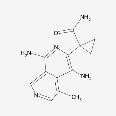 Cc1cncc2c(N)nc(C3(C(N)=O)CC3)c(N)c12